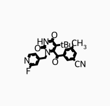 Cc1cc(C#N)cc(C(=O)c2c(C(C)(C)C)c(=O)[nH]c(=O)n2Cc2ccnc(F)c2)c1